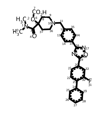 CN(C)C(=O)C1(OC(=O)O)CCN(Cc2ccc(-c3noc(-c4ccc(-c5ccccc5)c(F)c4)n3)cc2)CC1